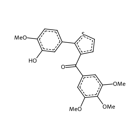 COc1ccc(-c2sccc2C(=O)c2cc(OC)c(OC)c(OC)c2)cc1O